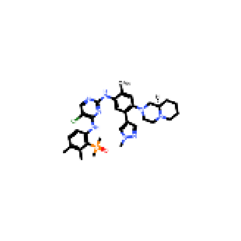 COc1cc(N2CCN3CCCC[C@@H]3C2)c(-c2cnn(C)c2)cc1Nc1ncc(Cl)c(Nc2ccc(C)c(C)c2P(C)(C)=O)n1